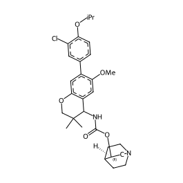 COc1cc2c(cc1-c1ccc(OC(C)C)c(Cl)c1)OCC(C)(C)C2NC(=O)O[C@H]1CN2CCC1CC2